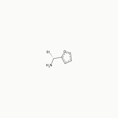 CC[C@@H](N)c1ccco1